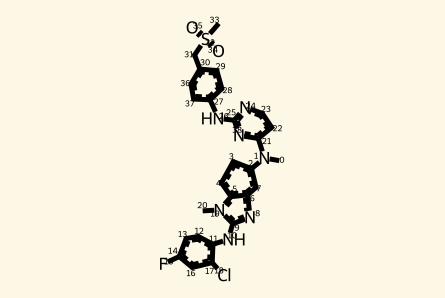 CN(c1ccc2c(c1)nc(Nc1ccc(F)cc1Cl)n2C)c1ccnc(Nc2ccc(CS(C)(=O)=O)cc2)n1